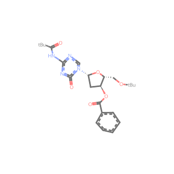 CC(C)(C)OC[C@H]1O[C@@H](n2cnc(NC(=O)C(C)(C)C)nc2=O)C[C@@H]1OC(=O)c1ccccc1